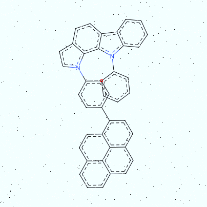 c1ccc(-n2c3ccccc3c3ccc4ccn(-c5ccc(-c6ccc7ccc8cccc9ccc6c7c89)cc5)c4c32)cc1